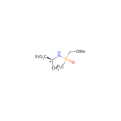 CCOC(=O)[C@H](C)NP(C)(=O)COC